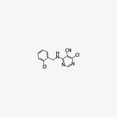 N#Cc1c(Cl)ncnc1NCc1ccccc1Cl